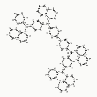 C1=Cc2ccccc2C(N(c2ccc(-c3ccc(N(c4ccc(N(c5ccccc5)c5cccc6ccccc56)cc4)c4cccc5ccccc45)cc3)cc2)c2ccc(N(c3ccccc3)c3cccc4ccccc34)cc2)C1